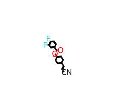 N#CC=CC1CCC(OC(=O)c2ccc(F)c(F)c2)CC1